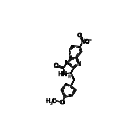 COc1ccc(C[C@H]2NC(=O)n3c2nc2cc([N+](=O)[O-])ccc23)cc1